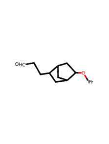 CC(C)OC1CC2CC1CC2CCC=O